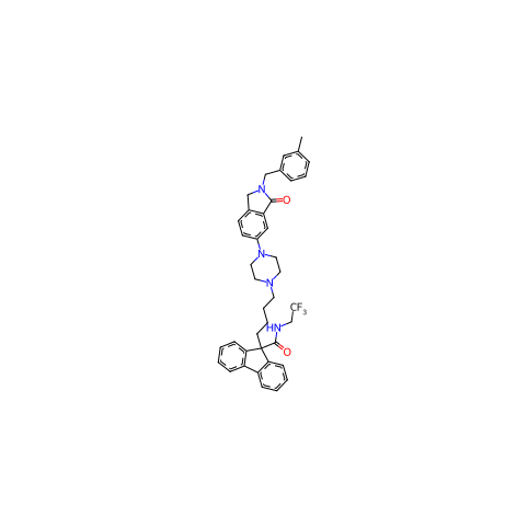 Cc1cccc(CN2Cc3ccc(N4CCN(CCCCC5(C(=O)NCC(F)(F)F)c6ccccc6-c6ccccc65)CC4)cc3C2=O)c1